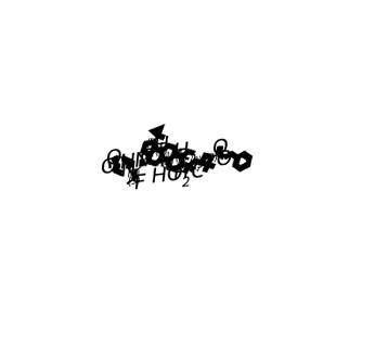 C[C@H](F)[C@@H](CN[C@]12CC[C@@H](C3(C)CC3)[C@@H]1[C@H]1CC[C@@H]3[C@]4(C)CC[C@H]([C@@]5(C(=O)O)C[C@@H](C(=O)OCc6ccccc6)C5(C)C)C(C)(C)[C@H]4CC[C@@]3(C)[C@]1(C)CC2)N1CCS(=O)(=O)CC1